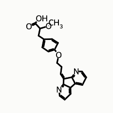 COC(Cc1ccc(OCCC=C2c3ncccc3-c3cccnc32)cc1)C(=O)O